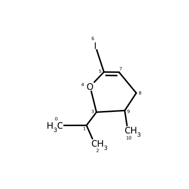 CC(C)C1OC(I)=CCC1C